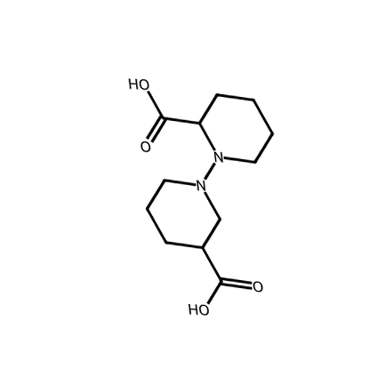 O=C(O)C1CCCN(N2CCCCC2C(=O)O)C1